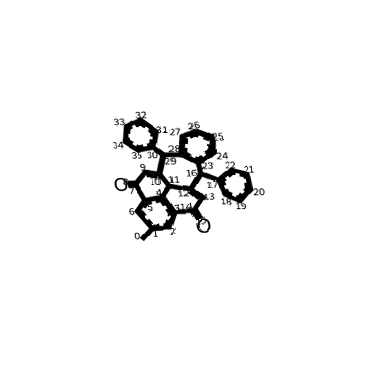 Cc1cc2c3c(c1)C(=O)C=C1C3C(=CC2=O)C(c2ccccc2)c2ccccc2C1c1ccccc1